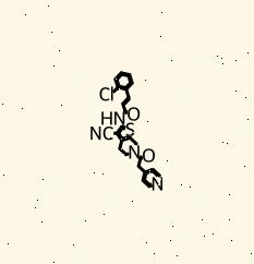 N#Cc1c(NC(=O)C=Cc2ccccc2Cl)sc2c1CCN(C(=O)Cc1ccncc1)C2